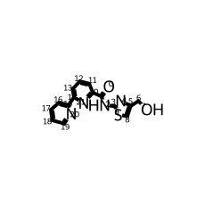 O=C(Nc1nc(CO)cs1)c1cccc(-c2ccccn2)n1